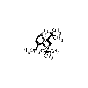 CCC1=CC=NN2C(C(C)(C)C)=CN(C(C)(C)C)C12